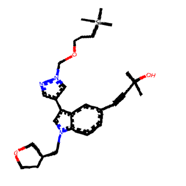 CC(C)(O)C#Cc1ccc2c(c1)c(-c1cnn(COCC[Si](C)(C)C)c1)cn2CC1CCOC1